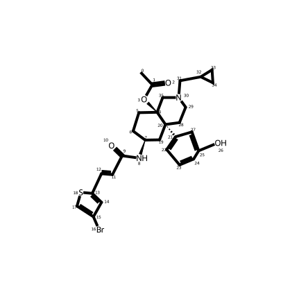 CC(=O)O[C@]12CC[C@H](NC(=O)/C=C/c3cc(Br)cs3)C[C@]1(c1cccc(O)c1)CCN(CC1CC1)C2